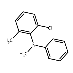 Cc1cccc(Cl)c1N(C)c1ccccc1